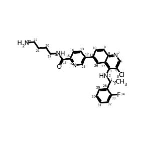 C[C@@H](Nc1c(Cl)cnc2ccc(-c3ccc(C(=O)NCCCCN)nc3)cc12)c1ccccc1F